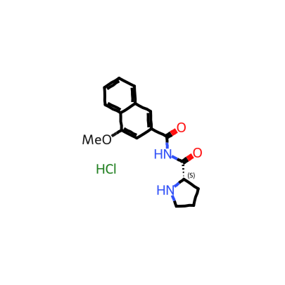 COc1cc(C(=O)NC(=O)[C@@H]2CCCN2)cc2ccccc12.Cl